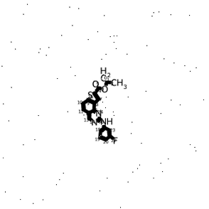 C=C(C)OC(=O)c1cc2c(ccc3cnc(Nc4cccc(F)c4)nc32)s1